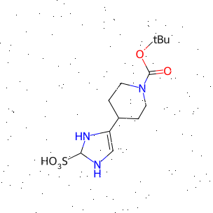 CC(C)(C)OC(=O)N1CCC(C2=CNC(S(=O)(=O)O)N2)CC1